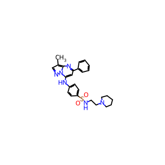 Cc1cnn2c(Nc3ccc(S(=O)(=O)NCCN4CCCCC4)cc3)cc(-c3ccccc3)nc12